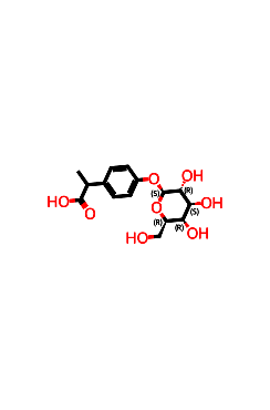 CC(C(=O)O)c1ccc(O[C@@H]2O[C@H](CO)[C@H](O)[C@H](O)[C@H]2O)cc1